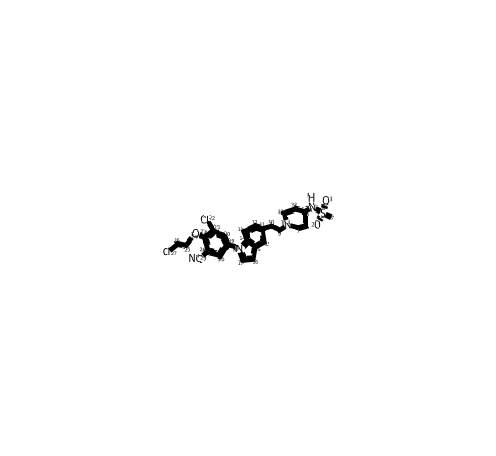 CS(=O)(=O)NC1CCN(CCc2ccc3c(ccn3-c3cc(Cl)c(OCCCl)c(C#N)c3)c2)CC1